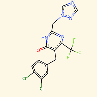 O=c1[nH]c(Cn2cncn2)nc(C(F)(F)F)c1Cc1ccc(Cl)c(Cl)c1